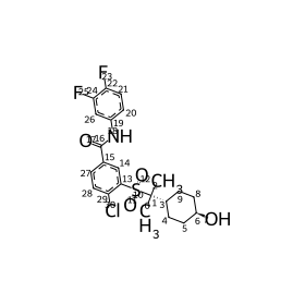 CC(C)([C@H]1CC[C@H](O)CC1)S(=O)(=O)c1cc(C(=O)Nc2ccc(F)c(F)c2)ccc1Cl